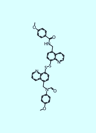 COc1ccc(C(=O)NCc2ccc(SSc3ccc(CN(C=O)c4ccc(OC)cc4)c4cccnc34)c3ncccc23)cc1